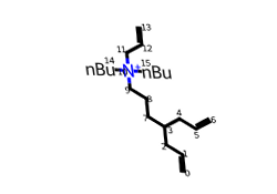 C=CCC(CC=C)CCC[N+](CC=C)(CCCC)CCCC